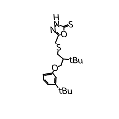 CC(C)(C)c1cccc(OCC(CSCc2n[nH]c(=S)o2)C(C)(C)C)c1